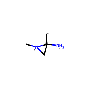 CN1CC1(C)N